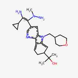 CN(N)/C(=C(\N)C1CC1)c1cnc2c3c(n(CC4CCOCC4)c2c1)=CC(C(C)(C)O)CC=3